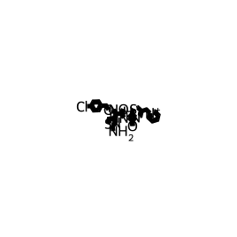 Nc1nc(/C(=N\OCc2ccc(Cl)cc2)C(=O)NC2C(=O)N3C=C(C[n+]4ccccc4)CS[C@H]23)cs1